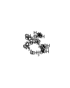 COCCCN1CCOc2ccc(COC3CN(C(=O)CCCC(CON(O)O)ON(O)O)C(CC(O)c4nnn[nH]4)CC3c3ccc(OC)cc3)cc21